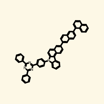 c1ccc(-c2nc(-c3ccccc3)nc(-c3ccc(-n4c5ccccc5c5c6ccc(-c7ccc8cc(-c9cccc%10ccccc9%10)ccc8c7)cc6ccc54)cc3)n2)cc1